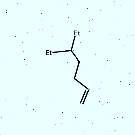 C=CCC[C](CC)CC